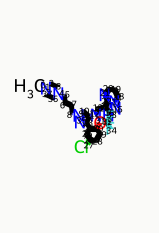 CN1CCN(C/C=C/Cn2cc(NCc3cnn4cccnc34)c(-c3cc(Cl)ccc3OC(F)F)n2)CC1